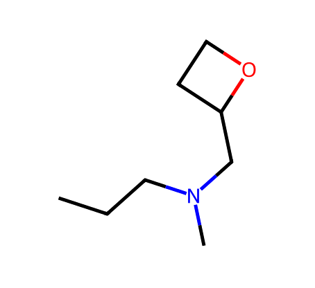 CCCN(C)CC1CCO1